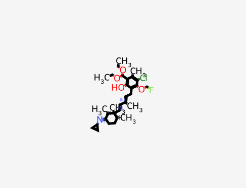 CCOC(OCC)c1c(C)c(Cl)c(OCF)c(C/C=C(C)/C=C/[C@@]2(C)[C@H](C)CC/C(=N\C3CC3)[C@@H]2C)c1O